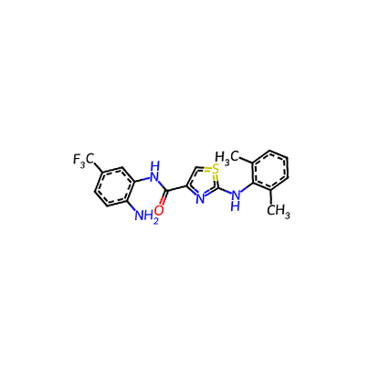 Cc1cccc(C)c1Nc1nc(C(=O)Nc2cc(C(F)(F)F)ccc2N)cs1